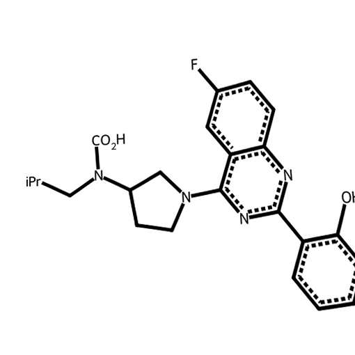 CC(C)CN(C(=O)O)C1CCN(c2nc(-c3ccccc3O)nc3ccc(F)cc23)C1